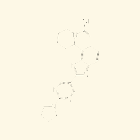 NC(=O)N1CCCCC1C1=C2N=C(c3cnc(N4CCCC4)nc3)N=C2C=CC1